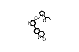 CCC(=O)N1CCC[C@H]1COc1cncc(-c2ccc3c(c2)CCC(=O)N3C)c1